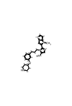 CCCc1cnc(-c2cc3sccc3n2C)n1CCCc1cccc(OC2CCNCC2)c1